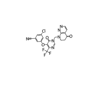 N#Cc1cc(Cl)cc(Oc2c(C(F)(F)F)ncn(CN3CCC(=O)c4ccnnc43)c2=O)c1